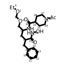 CCOCOCC(CC(Cc1ccccc1)C(=O)NO)NC(=O)C1CCN(C(C)=O)CC1